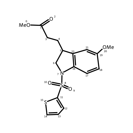 COC(=O)CCC1CN(S(=O)(=O)c2cccs2)c2ccc(OC)cc21